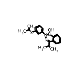 CC(C)Sc1cccc(N2N=C(C(C)C)c3ccccc3B2O)c1